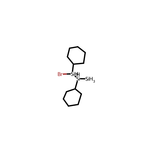 [SiH3][SiH](C1CCCCC1)[SiH](Br)C1CCCCC1